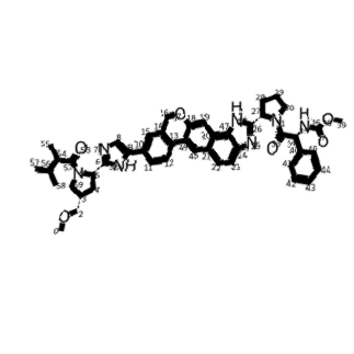 COC[C@H]1C[C@@H](c2ncc(-c3ccc4c(c3)COc3cc5c(ccc6nc([C@@H]7CCCN7C(=O)[C@H](NC(=O)OC)c7ccccc7)[nH]c65)cc3-4)[nH]2)N(C(=O)C(C)C(C)C)C1